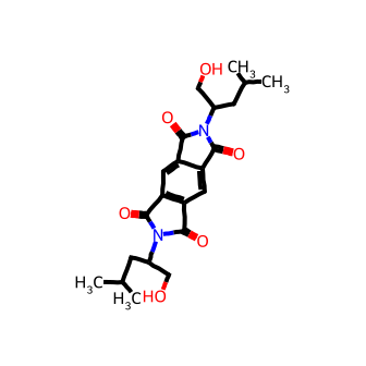 CC(C)CC(CO)n1c(=O)c2cc3c(=O)n(C(CO)CC(C)C)c(=O)c3cc2c1=O